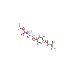 CC=C(F)COc1ccc(OCCNC(=O)OCC)cc1